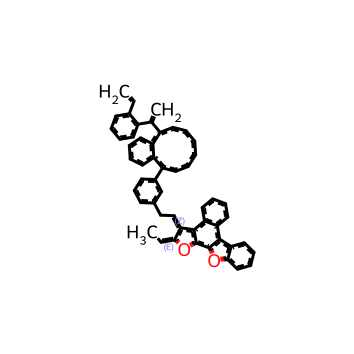 C=Cc1ccccc1C(=C)c1ccccccc(-c2cccc(C/C=c3\c(=C/C)oc4c5oc6ccccc6c5c5ccccc5c34)c2)c2ccccc12